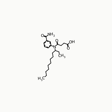 CCCCCCCCCC(CC)N(C(=O)CCC(=O)O)c1cccc(C(N)=O)c1